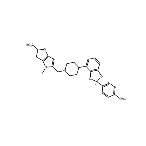 COc1ccc([C@]2(C)Oc3cccc(C4CCN(Cc5nc6c(n5C)CC(C(=O)O)S6)CC4)c3O2)nn1